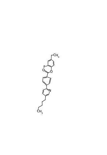 CCCCCc1ccc(-c2ccc(C(=O)Oc3ccc(CC)cc3F)cc2)nc1